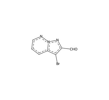 O=Cc1nn2ncccc2c1Br